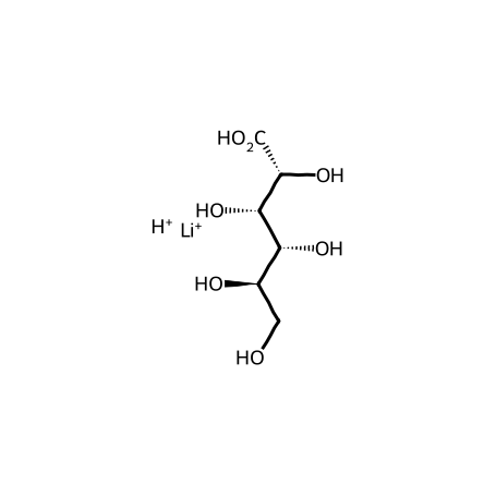 O=C(O)[C@H](O)[C@@H](O)[C@H](O)[C@H](O)CO.[H+].[Li+]